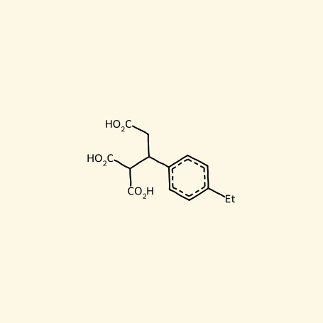 CCc1ccc(C(CC(=O)O)C(C(=O)O)C(=O)O)cc1